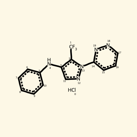 Cl.FC(F)(F)c1c(Nc2ccccc2)cnn1-c1cccnn1